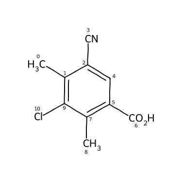 Cc1c(C#N)cc(C(=O)O)c(C)c1Cl